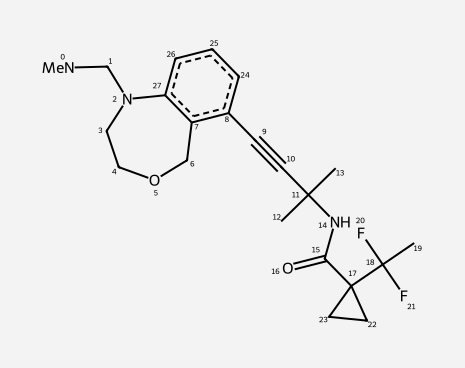 CNCN1CCOCc2c(C#CC(C)(C)NC(=O)C3(C(C)(F)F)CC3)cccc21